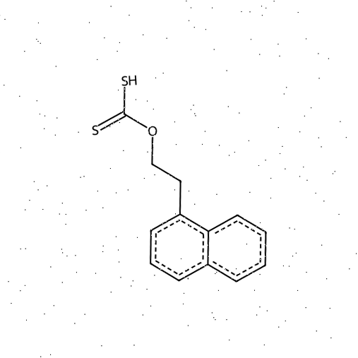 S=C(S)OCCc1cccc2ccccc12